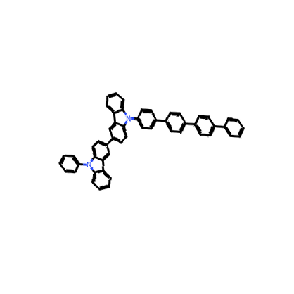 c1ccc(-c2ccc(-c3ccc(-c4ccc(-n5c6ccccc6c6cc(-c7ccc8c(c7)c7ccccc7n8-c7ccccc7)ccc65)cc4)cc3)cc2)cc1